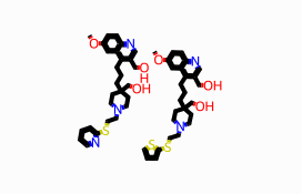 COc1ccc2ncc(CO)c(CCCC3(CO)CCN(CCSc4ccccn4)CC3)c2c1.COc1ccc2ncc(CO)c(CCCC3(CO)CCN(CCSc4cccs4)CC3)c2c1